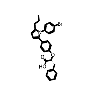 CCCc1ccc(-c2ccc(O[C@H](Cc3ccccc3)C(=O)O)cc2)n1-c1ccc(Br)cc1